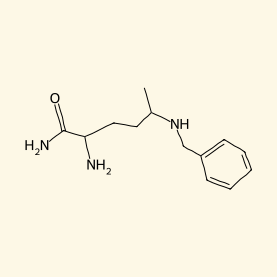 CC(CCC(N)C(N)=O)NCc1ccccc1